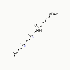 CCCCCCCCCCCCCCCC(=O)NC/C=C(\C)CC/C=C(\C)CCC=C(C)C